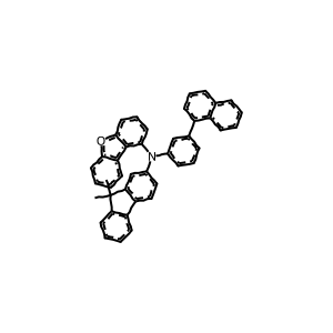 CC1(C)c2ccccc2-c2ccc(N(c3cccc(-c4cccc5ccccc45)c3)c3cccc4oc5ccccc5c34)cc21